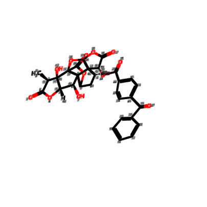 C[C@@H]1C(=O)O[C@H]2[C@H](O)C34C5C[C@@H](C(C)(C)C)C36C(OC(=O)[C@@H]6OC(=O)c3ccc(C(=O)c6ccccc6)cc3)O[C@]4(C(=O)O5)[C@@]12O